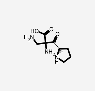 NCC(N)(C(=O)O)C(=O)[C@@H]1CCCN1